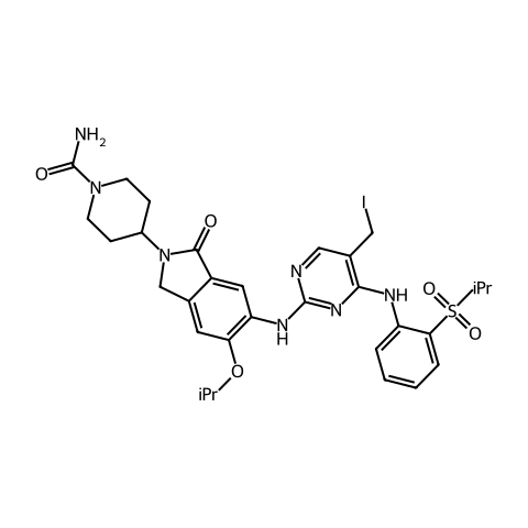 CC(C)Oc1cc2c(cc1Nc1ncc(CI)c(Nc3ccccc3S(=O)(=O)C(C)C)n1)C(=O)N(C1CCN(C(N)=O)CC1)C2